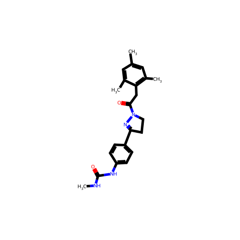 CNC(=O)Nc1ccc(C2=NN(C(=O)Cc3c(C)cc(C)cc3C)CC2)cc1